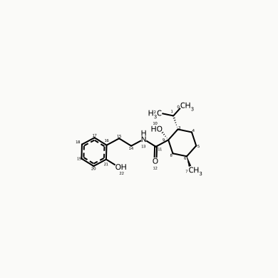 CC(C)[C@@H]1CC[C@@H](C)C[C@@]1(O)C(=O)NCCc1ccccc1O